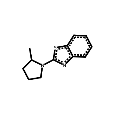 [CH2]C1CCCN1c1nc2ccccc2s1